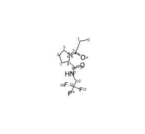 CCC(=O)N1CCCC1C(=O)NCC(F)(F)F